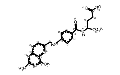 Nc1nc(O)c2nc(CNc3ccc(C(=O)NC(CCC(=O)N=O)C(=O)O)cc3)cnc2n1